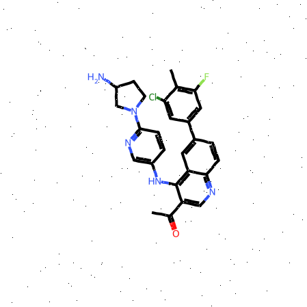 CC(=O)c1cnc2ccc(-c3cc(F)c(C)c(Cl)c3)cc2c1Nc1ccc(N2CCC(N)C2)nc1